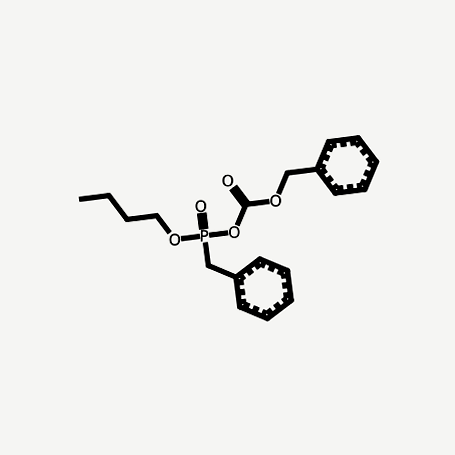 CCCCOP(=O)(Cc1ccccc1)OC(=O)OCc1ccccc1